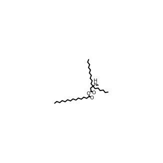 CCCCCCCCCCCCCC(=O)OC(=O)CC(CCCCCC)(CCCCCCCCCC)NC